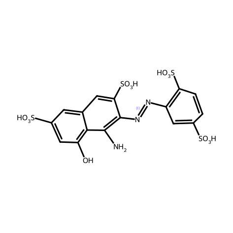 Nc1c(/N=N/c2cc(S(=O)(=O)O)ccc2S(=O)(=O)O)c(S(=O)(=O)O)cc2cc(S(=O)(=O)O)cc(O)c12